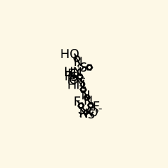 Cc1c([S+](C)[O-])c(-c2cc(F)cc(N3CCN(c4ccc(NSc5ccc(N[C@H](CCN6CCC(O)CC6)CSc6ccccc6)c(S(=O)(=O)C(F)(F)F)c5)cc4)CC3)c2)c(-c2ccc(F)cc2)n1C(C)C